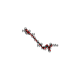 CNC(=O)N1CCc2c(c(N3CCCc4cc(-c5cnn(CCNC(=O)CCOCCOCCOCCOCCOCCNc6ccc7c(c6)C(=O)N(C6CCC(=O)NC6=O)C7=O)c5)c(C(F)F)cc43)nn2C2CCOCC2)C1